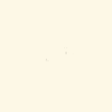 C#CC[N+](C)(C)CCC[PH](=O)O